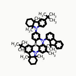 Cc1cc2c3c(c1)N1c4c(cc(C(C)(C)C)cc4C4(C)CCCCC14C)B3c1ccc(N3c4ccc(C(C)(C)C)cc4C4(C)CCCCC34C)cc1N2c1cccc2c1C(C)(C)c1ccccc1-2